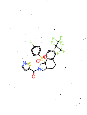 O=C(c1ccns1)N1CC2CCc3cc(C(F)(C(F)(F)F)C(F)(F)F)ccc3C2(S(=O)(=O)c2ccc(F)cc2)C1